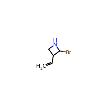 C=CC1CNC1Br